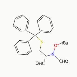 CC(C)(C)ON(C=O)[C@H](C=O)CSC(c1ccccc1)(c1ccccc1)c1ccccc1